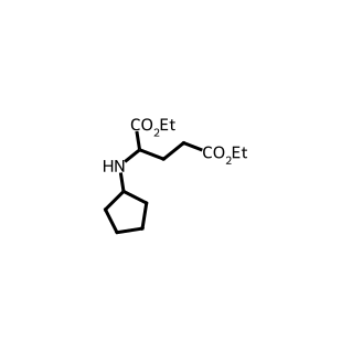 CCOC(=O)CCC(NC1CCCC1)C(=O)OCC